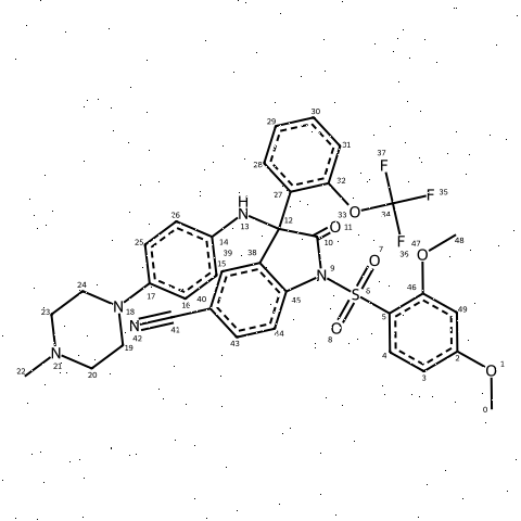 COc1ccc(S(=O)(=O)N2C(=O)C(Nc3ccc(N4CCN(C)CC4)cc3)(c3ccccc3OC(F)(F)F)c3cc(C#N)ccc32)c(OC)c1